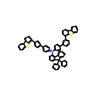 c1ccc(C2(c3ccccc3)c3ccccc3-c3c(N(c4ccc(-c5ccc(-c6cccc7c6sc6ccccc67)cc5)cc4)c4ccc(-c5cccc(-c6cccc7c6sc6ccccc67)c5)cc4)cccc32)cc1